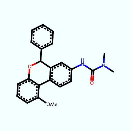 COc1cccc2c1-c1ccc(NC(=O)N(C)C)cc1C(c1ccccc1)O2